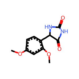 COc1ccc(C2NC(=O)NC2=O)c(OC)c1